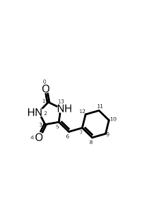 O=C1NC(=O)C(=CC2=CCCCC2)N1